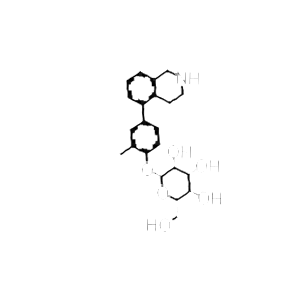 Cc1cc(-c2cccc3c2CCNC3)ccc1O[C@@H]1O[C@@H](CO)[C@H](O)[C@@H](O)[C@H]1O